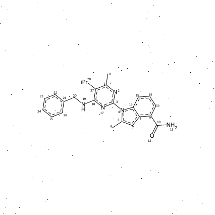 Cc1nc(-n2c(C)cc3c(C(N)=O)cccc32)nc(NCc2ccccc2)c1C(C)C